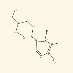 CCC1CCC(c2ccc(F)c(F)c2F)CC1